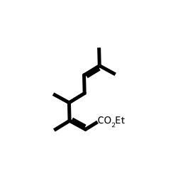 CCOC(=O)C=C(C)C(C)CC=C(C)C